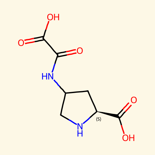 O=C(O)C(=O)NC1CN[C@H](C(=O)O)C1